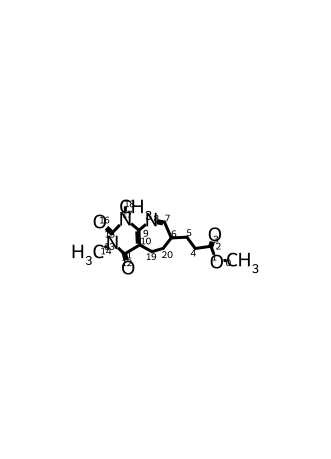 COC(=O)CCC1C=Nc2c(c(=O)n(C)c(=O)n2C)CC1